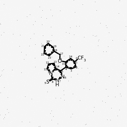 FC(F)(F)c1ccc(-c2n[nH]c(=S)n3cccc23)c(OCc2ccccc2)c1